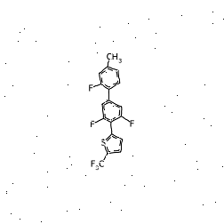 Cc1ccc(-c2cc(F)c(-c3ccc(C(F)(F)F)s3)c(F)c2)c(F)c1